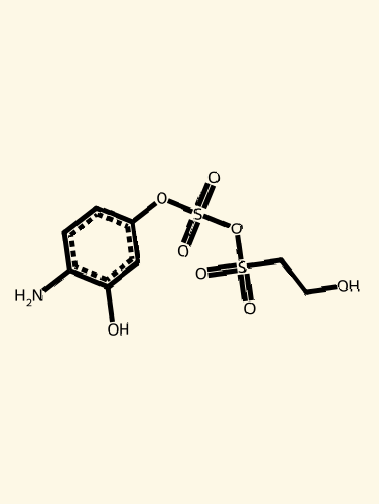 Nc1ccc(OS(=O)(=O)OS(=O)(=O)CCO)cc1O